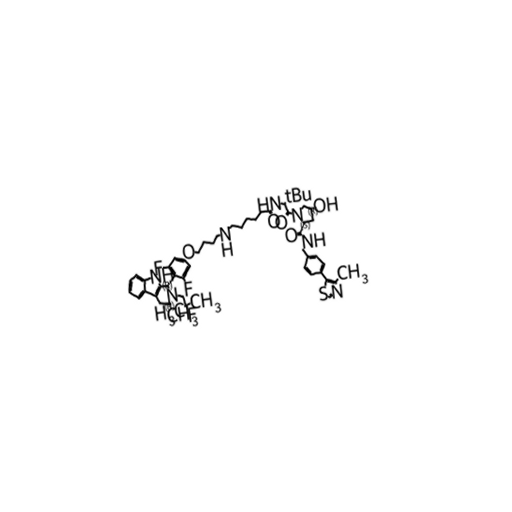 Cc1ncsc1-c1ccc(CNC(=O)[C@@H]2C[C@@H](O)CN2C(=O)C(NC(=O)CCCCCNCCCCOc2cc(F)c([C@@H]3c4[nH]c5ccccc5c4C[C@@H](C)N3CC(C)(C)F)c(F)c2)C(C)(C)C)cc1